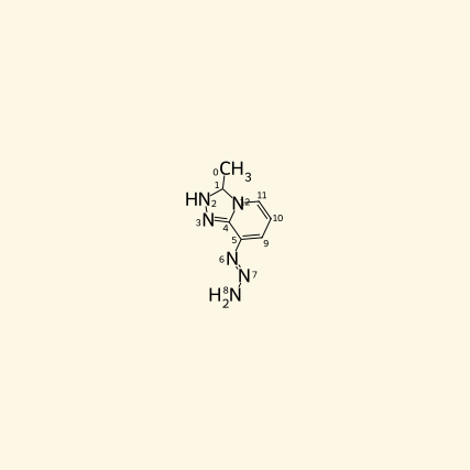 CC1NN=C2C(N=NN)=CC=CN21